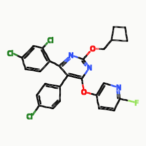 Fc1ccc(Oc2nc(OCC3CCC3)nc(-c3ccc(Cl)cc3Cl)c2-c2ccc(Cl)cc2)cn1